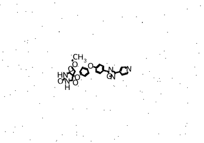 CCOCCC1(Oc2ccc(Oc3ccc(-c4nc(-c5ccncc5)no4)cc3)cc2)C(=O)NC(=O)NC1=O